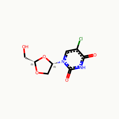 O=c1[nH]c(=O)n([C@@H]2CO[C@H](CO)O2)cc1Cl